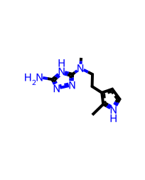 Cc1[nH]ccc1CCN(C)c1nnc(N)[nH]1